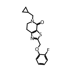 O=C1c2sc(COc3ccccc3F)nc2CCN1CC1CC1